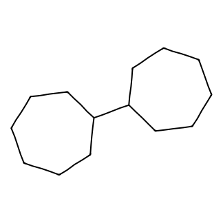 C1CCCC(C2CCCCCC2)CC1